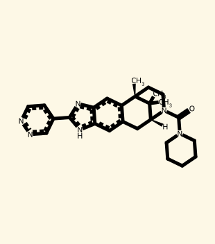 CC1(C)[C@H]2Cc3cc4[nH]c(-c5ccnnc5)nc4cc3[C@]1(C)CCN2C(=O)N1CCCCC1